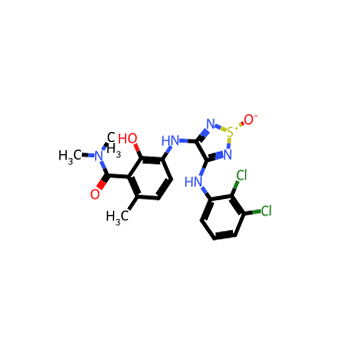 Cc1ccc(Nc2n[s+]([O-])nc2Nc2cccc(Cl)c2Cl)c(O)c1C(=O)N(C)C